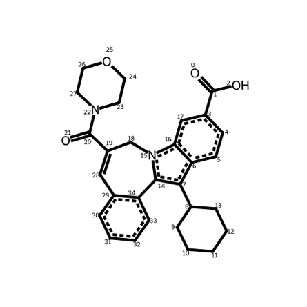 O=C(O)c1ccc2c(C3CCCCC3)c3n(c2c1)CC(C(=O)N1CCOCC1)=Cc1ccccc1-3